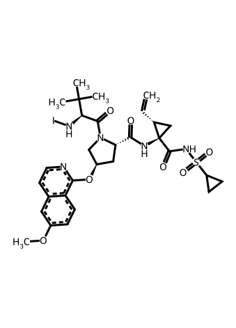 C=C[C@@H]1C[C@]1(NC(=O)[C@@H]1C[C@@H](Oc2nccc3cc(OC)ccc23)CN1C(=O)[C@@H](NI)C(C)(C)C)C(=O)NS(=O)(=O)C1CC1